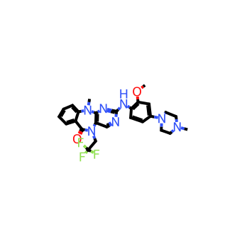 COc1cc(N2CCN(C)CC2)ccc1Nc1ncc2c(n1)N(C)c1ccccc1C(=O)N2CC(F)(F)F